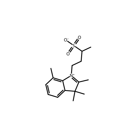 CC1=[N+](CCC(C)S(=O)(=O)[O-])c2c(C)cccc2C1(C)C